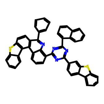 c1ccc(-c2nc3c(-c4nc(-c5ccc6c(c5)sc5ccccc56)nc(-c5cccc6ccccc56)n4)cccc3c3c2ccc2sc4ccccc4c23)cc1